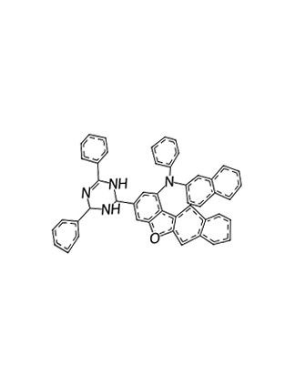 c1ccc(C2=NC(c3ccccc3)NC(c3cc(N(c4ccccc4)c4ccc5ccccc5c4)c4c(c3)oc3cc5ccccc5cc34)N2)cc1